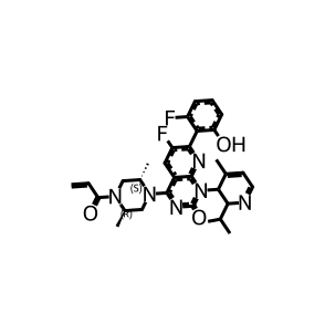 C=CC(=O)N1C[C@H](C)N(c2nc(=O)n(C3C(C)=CC=NC3C(C)C)c3nc(-c4c(O)cccc4F)c(F)cc23)C[C@H]1C